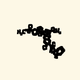 CCOC(=O)C1CCC(OC(C(=O)Cc2cc(Cl)c(NC(=O)c3csc4ccccc34)cc2F)(N2CCCC2)N2CC(OC)C2)CC1